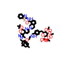 COC(=O)[C@@H]1OC(Cc2ccc(CNCCOC34CC5(C)CC(C)(CC(Cn6ncc(-c7ccc(N8CCc9cccc(C(=O)Nc%10nc%11ccccc%11s%10)c9C8)nc7C(=O)OC(C)(C)C)c6C)(C5)C3)C4)cc2)[C@@H](OC(C)=O)[C@H](OC(C)=O)[C@H]1OC(C)=O